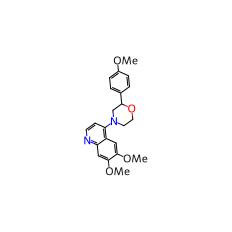 COc1ccc(C2CN(c3ccnc4cc(OC)c(OC)cc34)CCO2)cc1